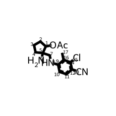 CC(=O)OC1CCCC1(N)CNc1ccc(C#N)c(Cl)c1C